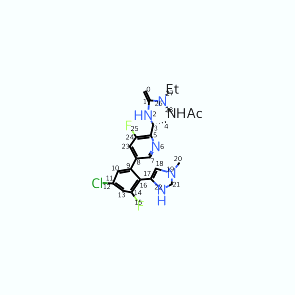 C=C(N[C@H](C)c1ncc(-c2cc(Cl)cc(F)c2C2=CN(C)CN2)cc1F)N(CC)NC(C)=O